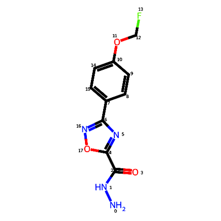 NNC(=O)c1nc(-c2ccc(OCF)cc2)no1